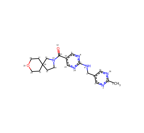 Cc1ncc(CNc2ncc(C(=O)N3CCC4(CCOCC4)C3)cn2)cn1